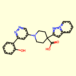 O=C(O)C1(c2cc3ccccn3n2)CCN(c2cnnc(-c3ccccc3O)c2)CC1